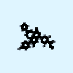 C=CC(=O)N1[C@H](C)CN(c2nc(=O)n3c4c(c(-c5ccc(F)cc5)c(C)cc24)SCC(N2CCCC2)C3)C[C@@H]1C